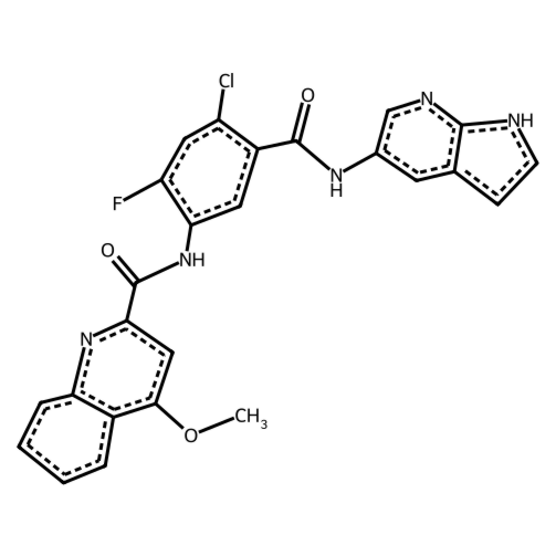 COc1cc(C(=O)Nc2cc(C(=O)Nc3cnc4[nH]ccc4c3)c(Cl)cc2F)nc2ccccc12